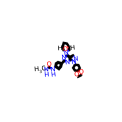 CNC(=O)Nc1ccc(-c2nc(N3C[C@H]4CC[C@@H](C3)O4)c3cnn(C4CCC5(CC4)OCCO5)c3n2)cc1